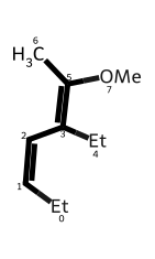 CC/C=C\C(CC)=C(/C)OC